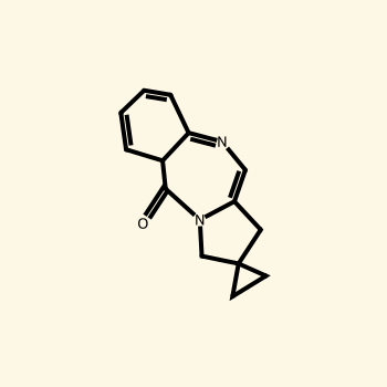 O=C1C2C=CC=CC2=NC=C2CC3(CC3)CN12